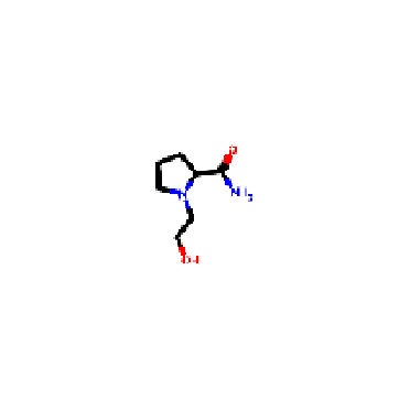 NC(=O)C1CCCN1CCO